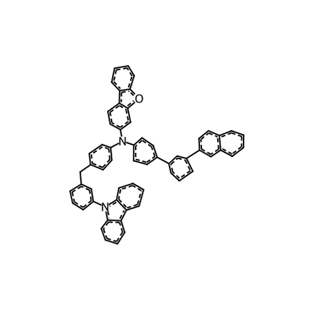 c1cc(-c2ccc(N(c3ccc(Cc4cccc(-n5c6ccccc6c6ccccc65)c4)cc3)c3ccc4c(c3)oc3ccccc34)cc2)cc(-c2ccc3ccccc3c2)c1